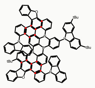 CC(C)(C)c1ccc(N2c3cc(-c4c(-c5cccc6c5oc5ccccc56)cccc4-n4c5ccccc5c5ccccc54)ccc3B3c4ccc(-n5c6ccc(C(C)(C)C)cc6c6cc(C(C)(C)C)ccc65)cc4N(c4ccccc4-c4ccccc4)c4cc(-c5c(-c6cccc7oc8ccccc8c67)cccc5-n5c6ccccc6c6ccccc65)cc2c43)c(-c2ccccc2)c1